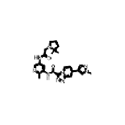 Cc1ncc(NC(=O)CN2CCCC2(C)C)cc1NC(=O)c1nnc2cc(-c3cnn(C)c3)ccn12